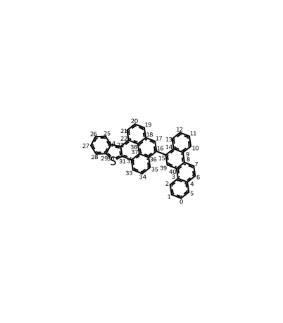 c1ccc2c(c1)ccc1c3ccccc3c(-c3cc4cccc5c6c7ccccc7sc6c6cccc3c6c45)cc21